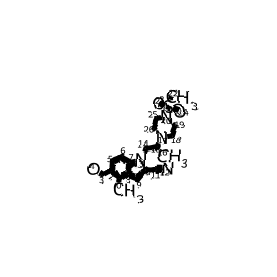 Cc1c(C=O)ccc2c1cc(C#N)n2CC(C)N1CCN(S(C)(=O)=O)CC1